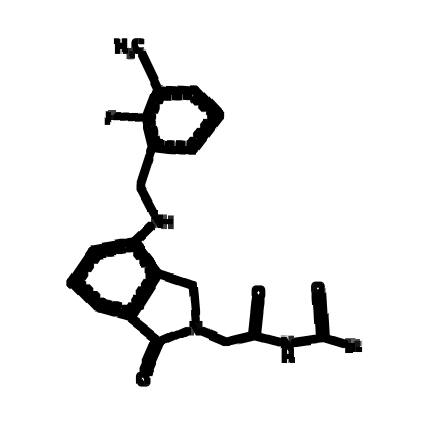 CCC(=O)NC(=O)CN1Cc2c(NCc3cccc(C)c3F)cccc2C1=O